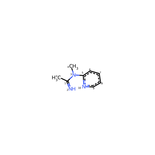 CC(=N)N(C)c1ccccn1